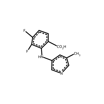 Cc1cncc(Nc2c(C(=O)O)ccc(F)c2F)c1